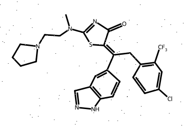 CN(CCN1CCCC1)C1=NC(=O)C(=C(Cc2ccc(Cl)cc2C(F)(F)F)c2ccc3[nH]ncc3c2)S1